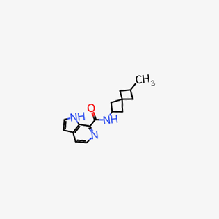 CC1CC2(C1)CC(NC(=O)c1nccc3cc[nH]c13)C2